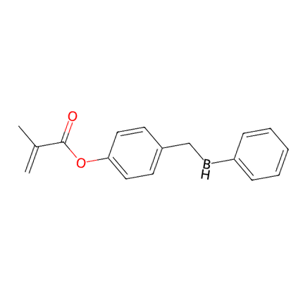 C=C(C)C(=O)Oc1ccc(CBc2ccccc2)cc1